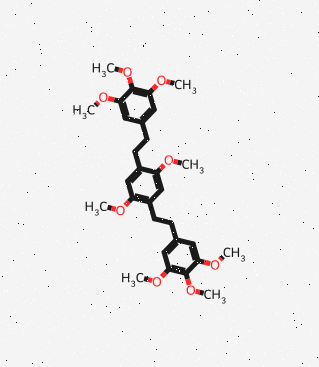 COc1cc(CCc2cc(OC)c(OC)c(OC)c2)c(OC)cc1CCc1cc(OC)c(OC)c(OC)c1